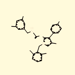 Cc1ccc(-c2c(C)cn(Cc3c(Cl)cccc3Cl)c2OC(=O)NCc2cc(F)cc(F)c2)cc1